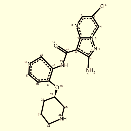 Nc1nn2cc(Cl)cnc2c1C(=O)Nc1cnccc1O[C@@H]1CCCNC1